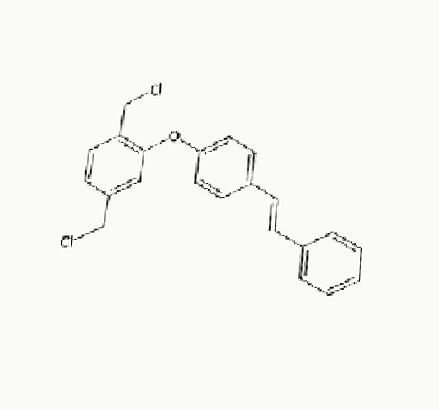 ClCc1ccc(CCl)c(Oc2ccc(C=Cc3ccccc3)cc2)c1